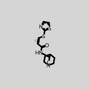 O=C(/C=C\Sc1nccs1)NC1CN2CCC1CC2